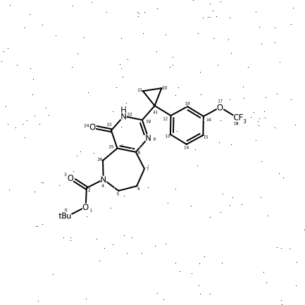 CC(C)(C)OC(=O)N1CCCc2nc(C3(c4cccc(OC(F)(F)F)c4)CC3)[nH]c(=O)c2C1